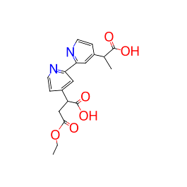 CCOC(=O)CC(C(=O)O)c1ccnc(-c2cc(C(C)C(=O)O)ccn2)c1